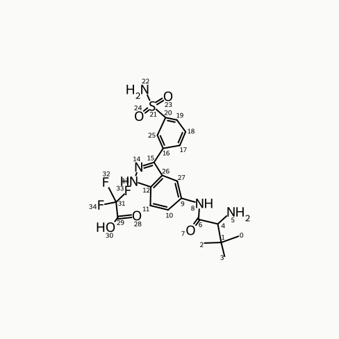 CC(C)(C)C(N)C(=O)Nc1ccc2[nH]nc(-c3cccc(S(N)(=O)=O)c3)c2c1.O=C(O)C(F)(F)F